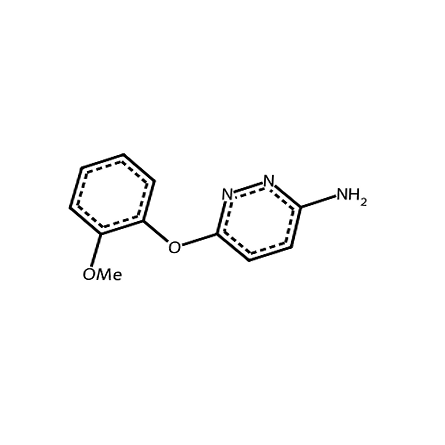 COc1ccccc1Oc1ccc(N)nn1